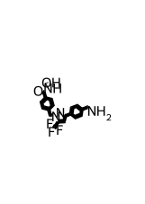 NCc1ccc(-c2cc(C(F)(F)F)n(Cc3ccc(C(=O)NO)cc3)n2)cc1